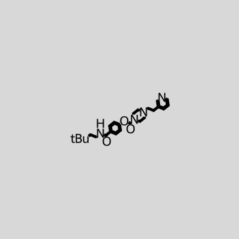 CC(C)(C)CCNC(=O)c1ccc(OC(=O)N2CCN(CCc3cccnc3)CC2)cc1